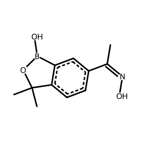 C/C(=N/O)c1ccc2c(c1)B(O)OC2(C)C